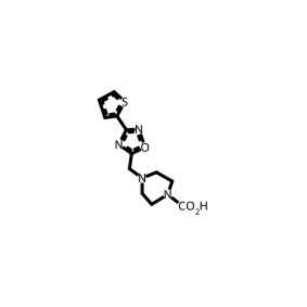 O=C(O)N1CCN(Cc2nc(-c3cccs3)no2)CC1